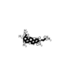 CC(C)=CCOC1=C(C)C2=CC=C3[C@@](C)(CC[C@@]4(C)[C@@H]5C[C@](C)(C(N)=O)CC[C@]5(C)CC[C@]34C)C2=CC1=O